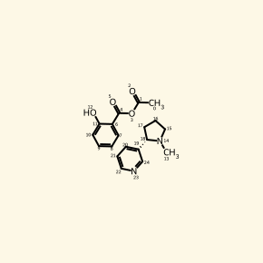 CC(=O)OC(=O)c1ccccc1O.CN1CCC[C@H]1c1cccnc1